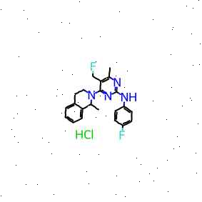 Cc1nc(Nc2ccc(F)cc2)nc(N2CCc3ccccc3C2C)c1CF.Cl